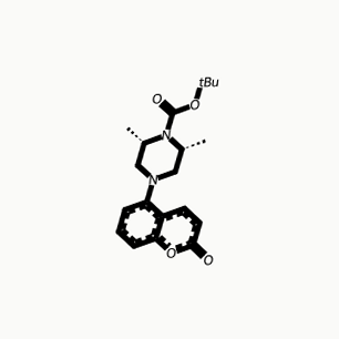 C[C@@H]1CN(c2cccc3oc(=O)ccc23)C[C@H](C)N1C(=O)OC(C)(C)C